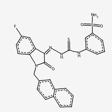 NS(=O)(=O)c1cccc(NC(=S)NN=C2C(=O)N(Cc3ccc4ccccc4c3)c3ccc(F)cc32)c1